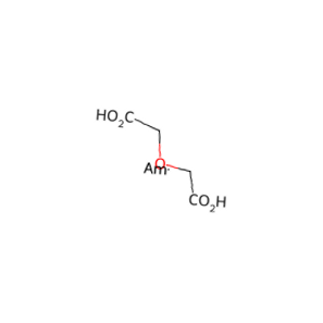 O=C(O)COCC(=O)O.[Am]